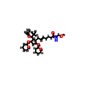 COCNC(=O)CCCC=CC[C@@H]1[C@H](C(O[SiH](C)C)C(C)(C)C)[C@H](OC2CCCCO2)C[C@@H]1OC1CCCCO1